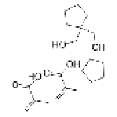 C1CCCC1.C=C(C)C(=O)O.C=C(C)C(=O)O.OCC1(CO)CCCC1